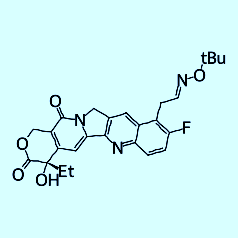 CC[C@@]1(O)C(=O)OCc2c1cc1n(c2=O)Cc2cc3c(C/C=N/OC(C)(C)C)c(F)ccc3nc2-1